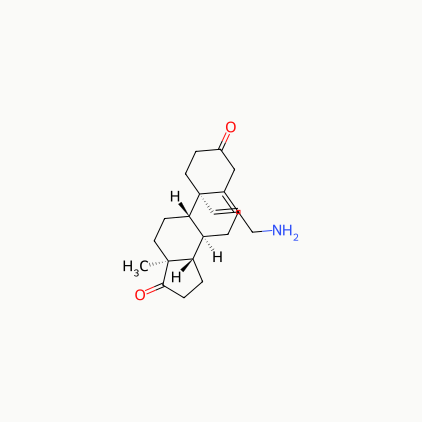 C[C@]12CC[C@H]3[C@@H](CC=C4CC(=O)CC[C@@]43C=CCN)[C@@H]1CCC2=O